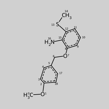 COc1ccc(COc2cccc(SC)c2N)cc1